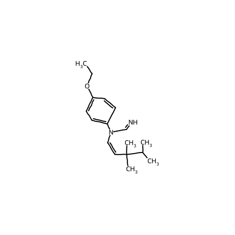 CCOc1ccc(N(C=N)/C=C\C(C)(C)C(C)C)cc1